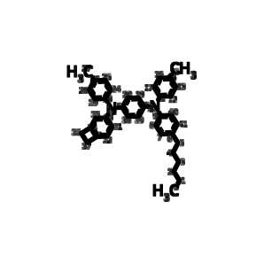 CCCCCCc1ccc(N(c2ccc(C)cc2)c2ccc(N(c3ccc(C)cc3)c3ccc4c(c3)CC4)cc2)cc1